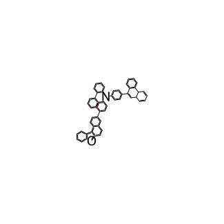 C1=CC2C=C(c3ccc(N(c4ccc(-c5ccc6c(ccc7oc8ccccc8c76)c5)cc4)c4ccccc4-c4ccccc4)cc3)c3ccccc3C2C=C1